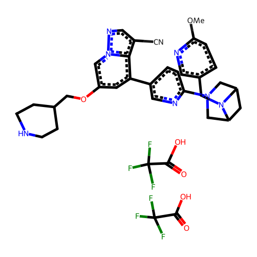 COc1ccc(CN2C3CC2CN(c2ccc(-c4cc(OCC5CCNCC5)cn5ncc(C#N)c45)cn2)C3)cn1.O=C(O)C(F)(F)F.O=C(O)C(F)(F)F